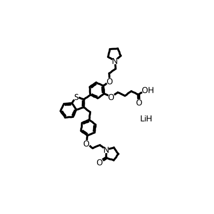 O=C(O)CCCOc1cc(-c2sc3ccccc3c2Cc2ccc(OCCN3CCCC3=O)cc2)ccc1OCCN1CCCC1.[LiH]